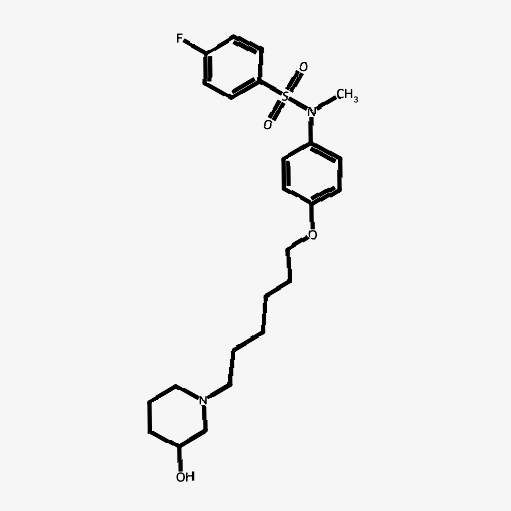 CN(c1ccc(OCCCCCCN2CCCC(O)C2)cc1)S(=O)(=O)c1ccc(F)cc1